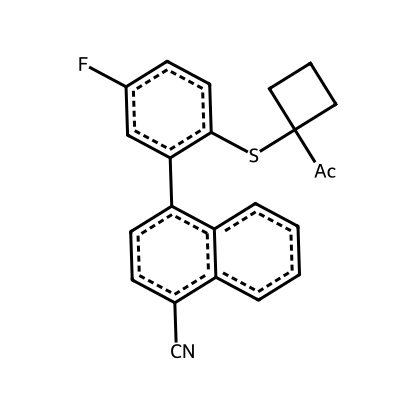 CC(=O)C1(Sc2ccc(F)cc2-c2ccc(C#N)c3ccccc23)CCC1